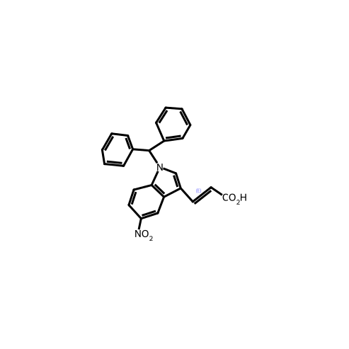 O=C(O)/C=C/c1cn(C(c2ccccc2)c2ccccc2)c2ccc([N+](=O)[O-])cc12